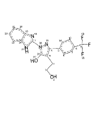 OCCc1c(-c2ccc(C(F)(F)F)cc2)nn(-c2nc3ccccc3[nH]2)c1O